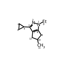 CCn1nc(C2CC2)c2c1CC(C)C2